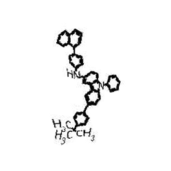 CC(C)(C)c1ccc(-c2ccc3c(c2)c2cc(Nc4ccc(-c5cccc6ccccc56)cc4)ccc2n3-c2ccccc2)cc1